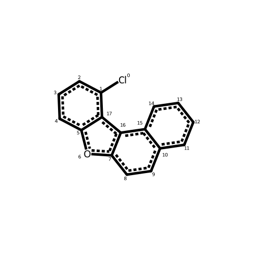 Clc1cccc2oc3ccc4ccccc4c3c12